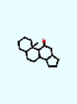 CC12CCCCC1CCC1C3CCCC3CC(=O)C12